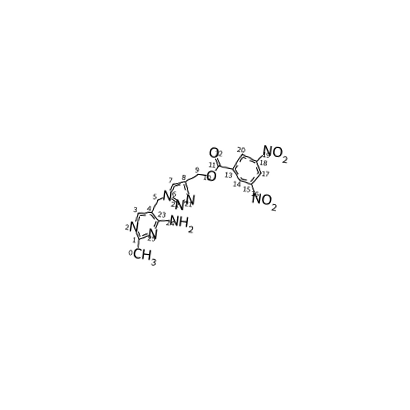 Cc1ncc(Cn2cc(COC(=O)c3cc([N+](=O)[O-])cc([N+](=O)[O-])c3)nn2)c(N)n1